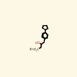 CCOC(=O)CC(O)Cc1ccc(C2CCCC2)cc1